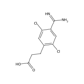 N=C(N)c1cc(Cl)c(CCC(=O)O)cc1Cl